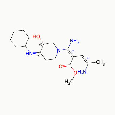 COC(=O)C(/C=C(/C)N)=C(/N)N1CC[C@@H](NC2CCCCC2)[C@H](O)C1